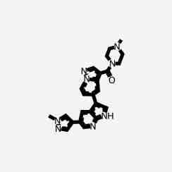 CN1CCN(C(=O)c2cnn3ccc(-c4c[nH]c5ncc(-c6cnn(C)c6)cc45)cc23)CC1